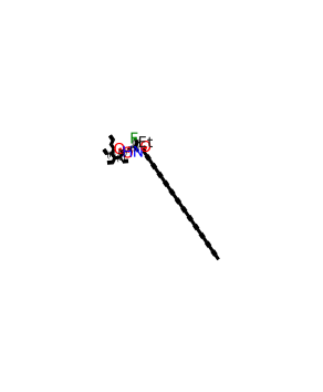 C=CCC1O[C@H](OC[C@H](NC(=O)C#CC#CC#CC#CC#CC#CC#CC#CC#CC#CC#CC#CC)[C@H](F)CC)[C@@H](C=C)C(C=C)[C@H]1C=C